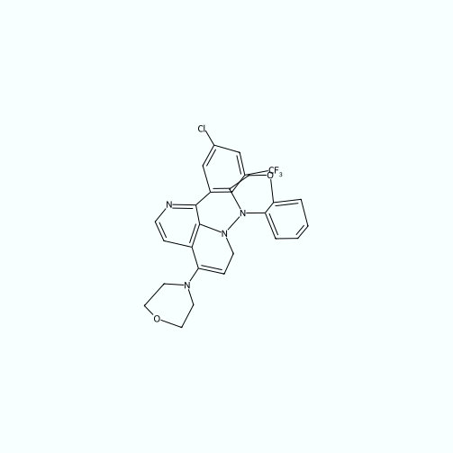 FC(F)(F)c1cc(Cl)cc(-c2nccc3c2N(N2CCOc4ccccc42)CC=C3N2CCOCC2)c1